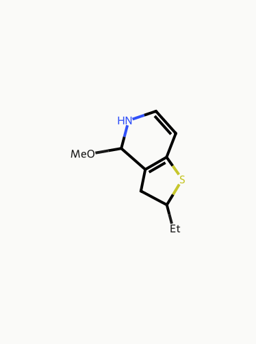 CCC1CC2=C(C=CNC2OC)S1